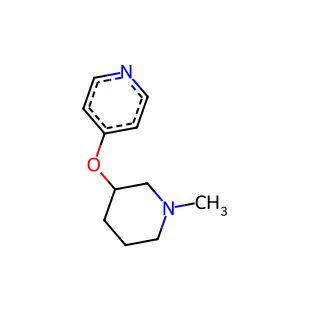 CN1CCCC(Oc2ccncc2)C1